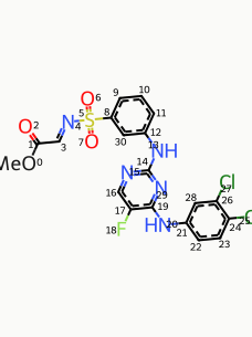 COC(=O)C=NS(=O)(=O)c1cccc(Nc2ncc(F)c(Nc3ccc(Cl)c(Cl)c3)n2)c1